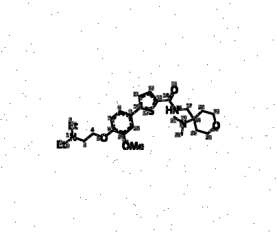 CCN(CC)CCOc1ccc(-c2ccc(C(=O)NCC3(N(C)C)CCOCC3)s2)cc1OC